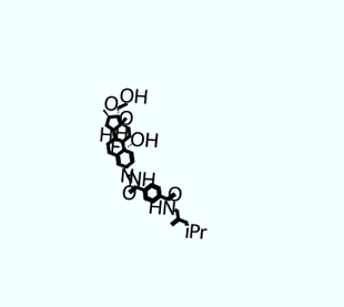 C=C(CNC(=O)c1ccc(C(=O)N/N=C2\C=C[C@@]3(C)C(=C2)CC[C@H]2[C@@H]4C[C@@H](C)[C@@]5(C(=O)CO)O[C@]45C[C@H](O)[C@@]23F)cc1)CC(C)C